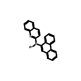 CC(C)N(c1ccc2ccccc2n1)c1cc2ccccc2c2ccccc12